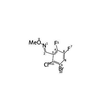 CO/N=C/c1c(F)c(F)cc(Br)c1Cl